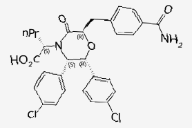 CCC[C@@H](C(=O)O)N1C(=O)[C@@H](Cc2ccc(C(N)=O)cc2)O[C@H](c2ccc(Cl)cc2)[C@@H]1c1ccc(Cl)cc1